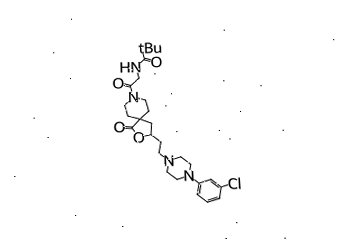 CC(C)(C)C(=O)NCC(=O)N1CCC2(CC1)CC(CCN1CCN(c3cccc(Cl)c3)CC1)OC2=O